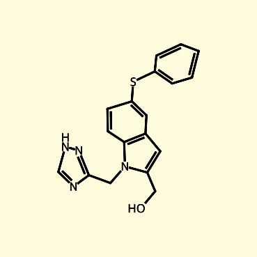 OCc1cc2cc(Sc3ccccc3)ccc2n1Cc1nc[nH]n1